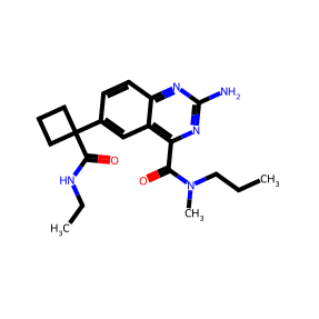 CCCN(C)C(=O)c1nc(N)nc2ccc(C3(C(=O)NCC)CCC3)cc12